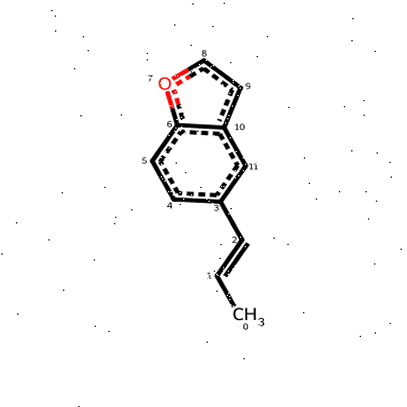 CC=Cc1ccc2occc2c1